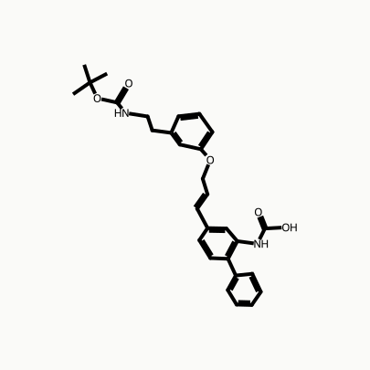 CC(C)(C)OC(=O)NCCc1cccc(OC/C=C/c2ccc(-c3ccccc3)c(NC(=O)O)c2)c1